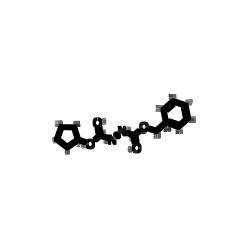 O=C(N=NC(=O)OC1CCCC1)OCc1ccccc1